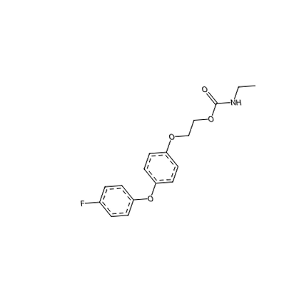 CCNC(=O)OCCOc1ccc(Oc2ccc(F)cc2)cc1